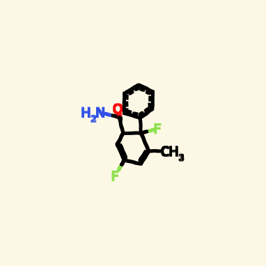 CC1=CC(F)=CC(C(N)=O)C1(F)c1ccccc1